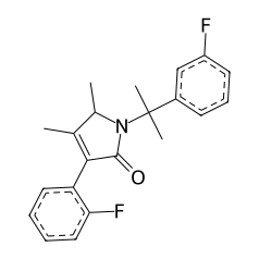 CC1=C(c2ccccc2F)C(=O)N(C(C)(C)c2cccc(F)c2)C1C